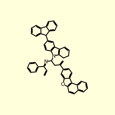 C=C/C(=N\C(CC(=C)c1ccc2c(c1)oc1ccc3ccccc3c12)n1c2c(c3cc(C4c5ccccc5-c5ccccc54)ccc31)C=CCC2)c1ccccc1